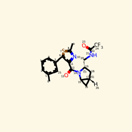 Cc1cccc(-c2sc(C)nc2C(=O)N2C3C[C@H]3C[C@H]2CNC(=O)C(F)(F)F)c1